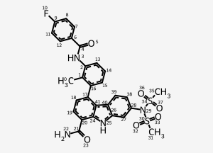 Cc1c(NC(=O)c2ccc(F)cc2)cccc1-c1ccc(C(N)=O)c2[nH]c3cc(N(S(C)(=O)=O)S(C)(=O)=O)ccc3c12